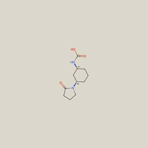 O=C(O)N[C@H]1CCC[C@@H](N2CCCC2=O)C1